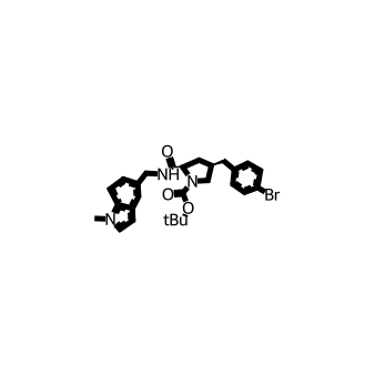 Cn1ccc2cc(CNC(=O)[C@@H]3C[C@@H](Cc4ccc(Br)cc4)CN3C(=O)OC(C)(C)C)ccc21